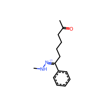 CN/N=C(/CCCCC(C)=O)c1ccccc1